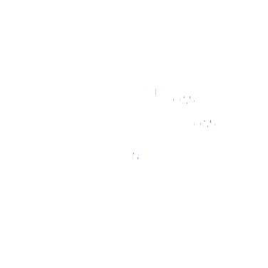 COC1(OC)CCN(Cc2ccccc2)CC1C=O